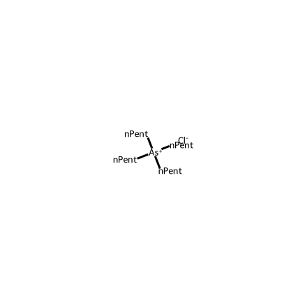 CCCCC[As+](CCCCC)(CCCCC)CCCCC.[Cl-]